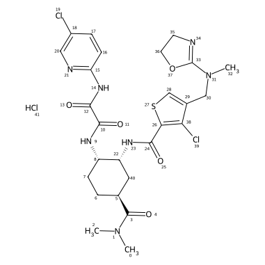 CN(C)C(=O)[C@H]1CC[C@H](NC(=O)C(=O)Nc2ccc(Cl)cn2)[C@H](NC(=O)c2scc(CN(C)C3=NCCO3)c2Cl)C1.Cl